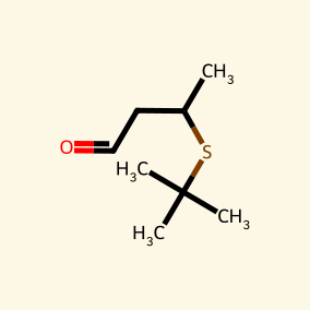 CC(CC=O)SC(C)(C)C